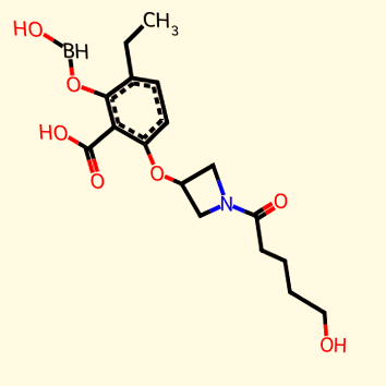 CCc1ccc(OC2CN(C(=O)CCCCO)C2)c(C(=O)O)c1OBO